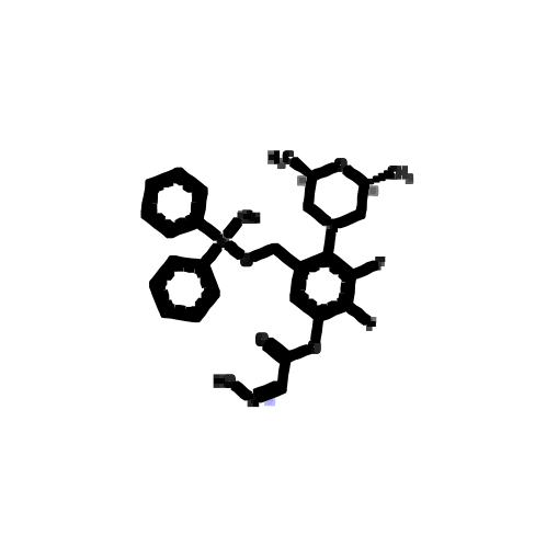 C[C@@H]1CN(c2c(CO[Si](c3ccccc3)(c3ccccc3)C(C)(C)C)cc(OC(=O)/C=N\O)c(F)c2F)C[C@@H](C)O1